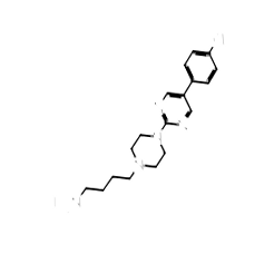 NCCCCN1CCN(c2ncc(-c3ccc(Cl)cc3)cn2)CC1